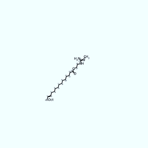 CCCCCCCCC=CCCCCCCCCCCCC(=O)OCCN/C(N)=N/C